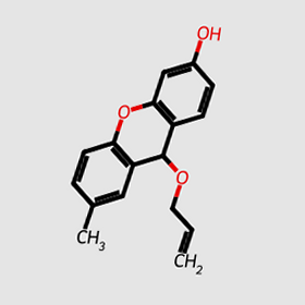 C=CCOC1c2ccc(O)cc2Oc2ccc(C)cc21